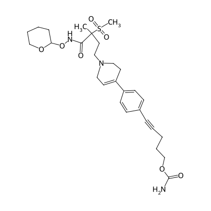 CC(CCN1CC=C(c2ccc(C#CCCCOC(N)=O)cc2)CC1)(C(=O)NOC1CCCCO1)S(C)(=O)=O